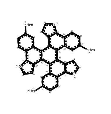 CCCCCCc1ccc2c(c1)c1c3c4ccsc4c4ccc(CCCCCC)cc4c3c3c4ccsc4c4ccc(CCCCCC)cc4c3c1c1ccsc21